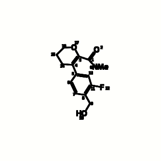 CNC(=O)C1=C(c2ccc(CO)c(F)c2)CCCO1